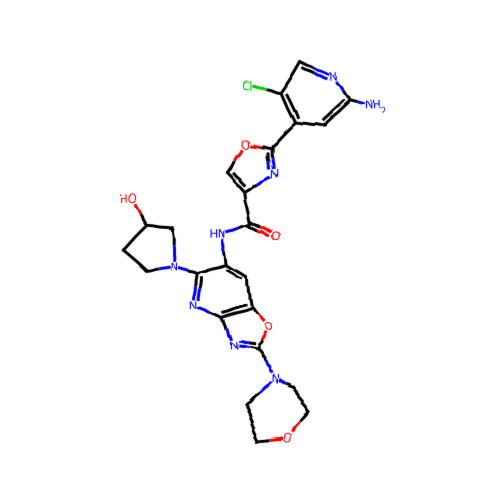 Nc1cc(-c2nc(C(=O)Nc3cc4oc(N5CCOCC5)nc4nc3N3CCC(O)C3)co2)c(Cl)cn1